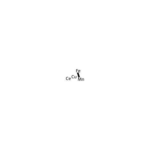 [Ce].[Cu].[Mn][Fe]